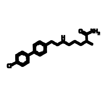 CC(CCCNCCc1ccc(-c2ccc(Cl)cc2)cc1)C(N)=O